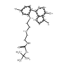 CC(C)(C)OC(=O)NCCOCCOc1cc(F)ccc1-c1nnc(Cl)c2c(F)csc12